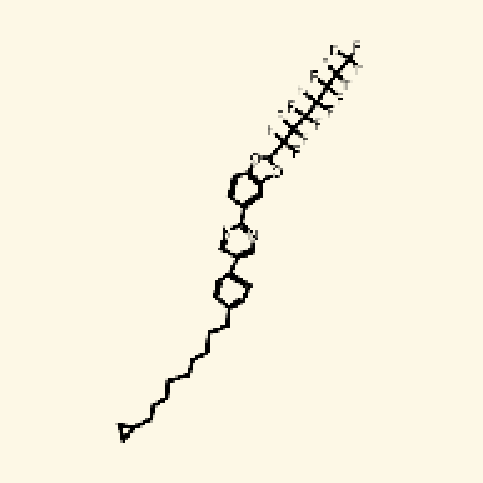 FC(F)(F)C(F)(F)C(F)(F)C(F)(F)C(F)(F)C(F)(F)C(F)(F)C1Oc2ccc(-c3ncc(-c4ccc(CCCCCCCCCC5CC5)cc4)cn3)cc2O1